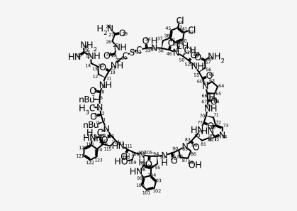 CCCC[C@H]1C(=O)N(C)[C@@H](CCCC)C(=O)N[C@@H](CCCNC(=N)N)C(=O)N[C@H](C(=O)NCC(N)=O)CSCC(=O)N[C@@H](Cc2ccc(Cl)c(Cl)c2)C(=O)N(C)[C@@H](C)C(=O)N[C@@H](CC(N)=O)C(=O)N2CCC[C@H]2C(=O)N[C@@H](Cc2cnc[nH]2)C(=O)N[C@@H](CC(C)C)C(=O)N2C[C@H](O)CC2C(=O)N[C@@H](Cc2c[nH]c3ccccc23)C(=O)N[C@@H](CO)C(=O)N[C@@H](Cc2c[nH]c3ccccc23)C(=O)N1C